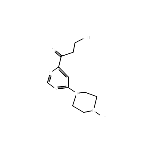 CCCC(=N)c1cc(N2CCN(C)CC2)ncn1